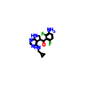 Nc1ccc(F)c(C(=O)C2CNc3ncnc(NCC4CC4)c32)c1F